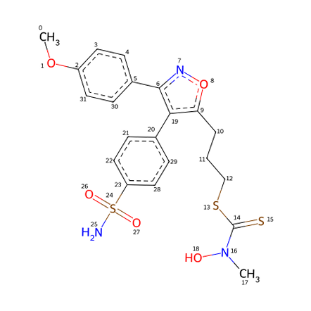 COc1ccc(-c2noc(CCCSC(=S)N(C)O)c2-c2ccc(S(N)(=O)=O)cc2)cc1